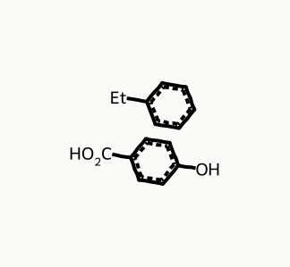 CCc1ccccc1.O=C(O)c1ccc(O)cc1